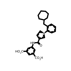 O=C(O)c1cc(NC(=O)c2ccn(-c3ccccc3CC3CCCCCC3)c2)cc(C(=O)O)c1